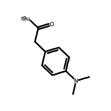 CN(C)c1ccc(CC(=O)C(C)(C)C)cc1